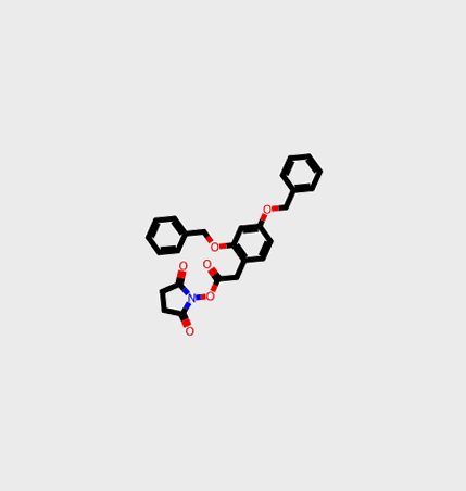 O=C(Cc1ccc(OCc2ccccc2)cc1OCc1ccccc1)ON1C(=O)CCC1=O